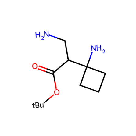 CC(C)(C)OC(=O)C(CN)C1(N)CCC1